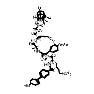 CCCCc1ccc(-c2ccc(C(=O)N[C@@H](CCCCN)C(=O)N(C)[C@@H]3C(=O)N[C@@H](C)C(=O)N[C@H](C(=O)N[C@@H](C)B4O[C@@H]5C[C@@H]6C[C@@H](C6(C)C)[C@]5(C)O4)CCCCc4cc3ccc4OC)cc2)cc1